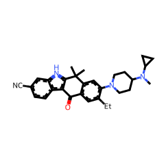 CCc1cc2c(cc1N1CCC(N(C)C3CC3)CC1)C(C)(C)c1[nH]c3cc(C#N)ccc3c1C2=O